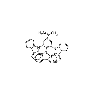 C=C(C)c1cc(-n2c3ccccc3c3ccccc32)c(-n2c3ccccc3c3ccccc32)c(-n2c3ccccc3c3ccccc32)c1